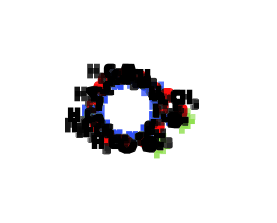 CCO[C@@H]1C[C@H]2C(=O)NC3(CCC3)C(=O)N(C)[C@@H](C3CCCC3)C(=O)N(C)[C@H](C(=O)N(C)C)CC(=O)N(C)[C@@H](CC3CC3)C(=O)N[C@@H]([C@@H](C)CC)C(=O)N(C)CC(=O)N(C)[C@H]3C/C=C\CCN(C3=O)[C@@H](Cc3ccc(C(F)(F)F)cc3)C(=O)N(C)CC(=O)N[C@@H](CCc3ccc(C(F)(F)F)c(OC)c3)C(=O)N2C1